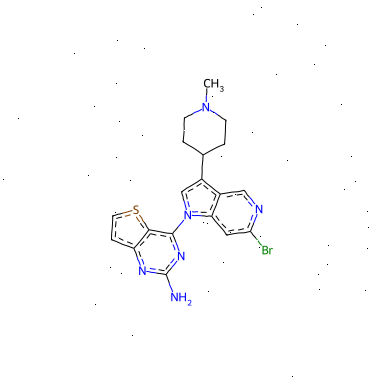 CN1CCC(c2cn(-c3nc(N)nc4ccsc34)c3cc(Br)ncc23)CC1